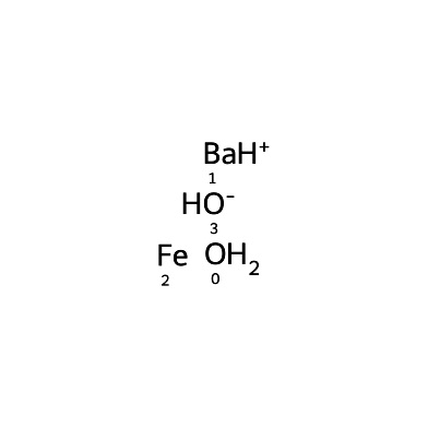 O.[BaH+].[Fe].[OH-]